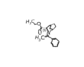 CCOC(=O)[C@@H]1C2CCC(C2)N1[C@H](C)c1ccccc1